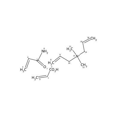 C=CC(=O)O.C=CC(N)=O.C=CC[N+](C)(C)CC=C